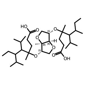 CCC(C)C(C(C)C)C(C)(CCC(=O)O)O[C@H]1CO[C@]2(C)[C@@H](OC(C)(CCC(=O)O)C(C(C)C)C(CC)C(C)C)CO[C@H]12